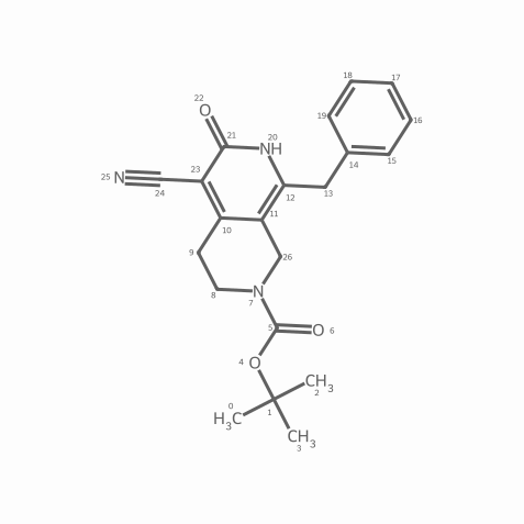 CC(C)(C)OC(=O)N1CCc2c(c(Cc3ccccc3)[nH]c(=O)c2C#N)C1